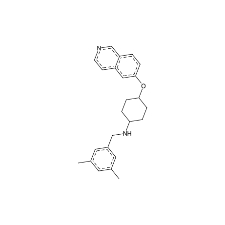 Cc1cc(C)cc(CNC2CCC(Oc3ccc4cnccc4c3)CC2)c1